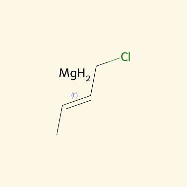 C/C=C/CCl.[MgH2]